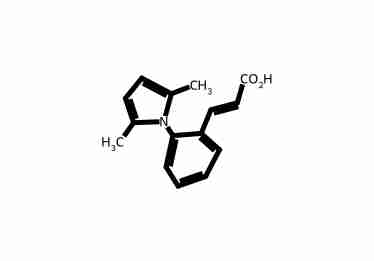 Cc1ccc(C)n1-c1ccccc1/C=C/C(=O)O